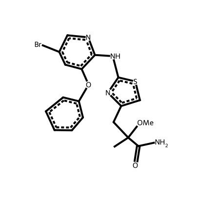 COC(C)(Cc1csc(Nc2ncc(Br)cc2Oc2ccccc2)n1)C(N)=O